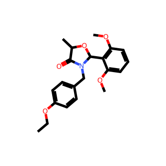 CCOc1ccc(CN2C(=O)C(C)OC2c2c(OC)cccc2OC)cc1